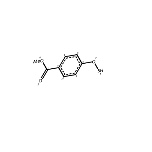 COC(=O)c1ccc(OS)cc1